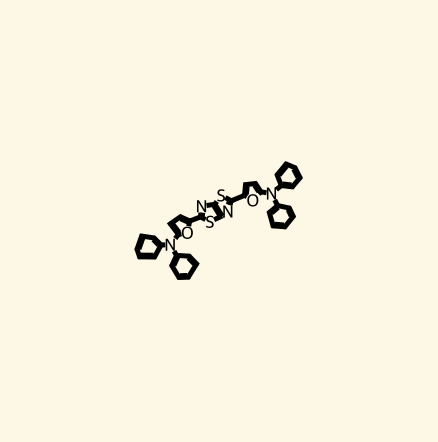 c1ccc(N(c2ccccc2)c2ccc(-c3nc4sc(-c5ccc(N(c6ccccc6)c6ccccc6)o5)nc4s3)o2)cc1